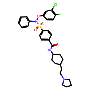 O=C(NC1CCC(CCN2CCCC2)CC1)c1ccc(S(=O)(=O)N(Oc2ccc(Cl)c(Cl)c2)c2ccccc2)cc1